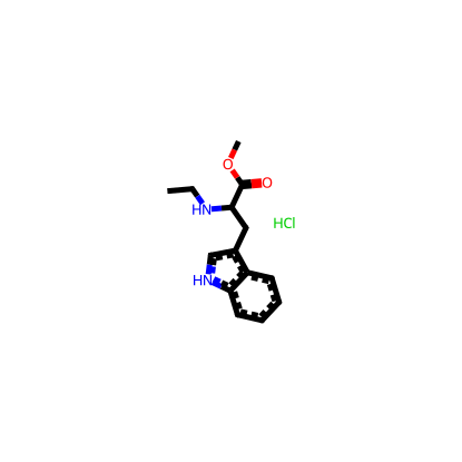 CCNC(Cc1c[nH]c2ccccc12)C(=O)OC.Cl